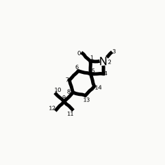 CC1N(C)CC12CCC(C(C)(C)C)CC2